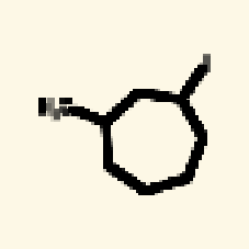 CC1CCCCC(I)C1